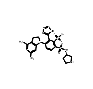 Cc1cc2c(c(C)n1)CCN2c1ccc(S(=O)(=O)N[C@@H]2CCNC2)c(S(N)(=O)=O)c1-c1nnn[nH]1